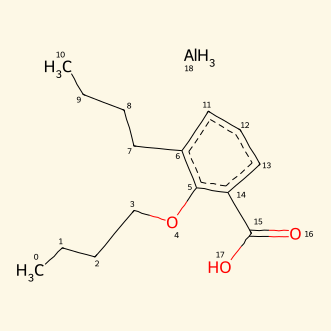 CCCCOc1c(CCCC)cccc1C(=O)O.[AlH3]